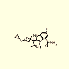 CC(=N)/C(=C1/Nc2cc(F)cc(C(N)=O)c2N1)C1(C)CN(CC2CC2)C1